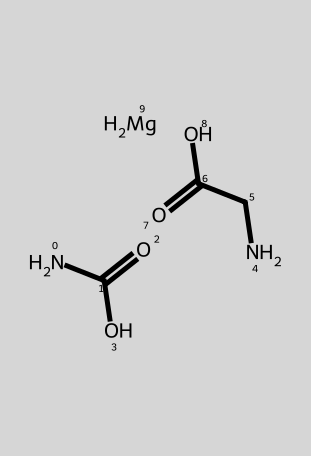 NC(=O)O.NCC(=O)O.[MgH2]